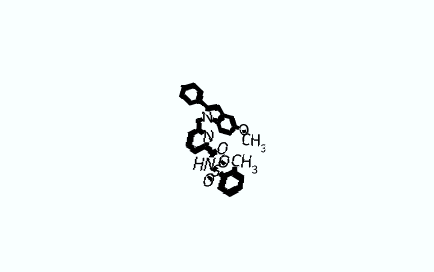 COc1ccc2c(c1)cc(-c1ccccc1)n2Cc1cccc(C(=O)NS(=O)(=O)c2ccccc2C)n1